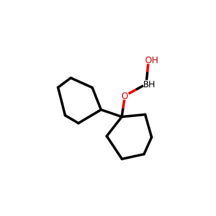 OBOC1(C2CCCCC2)CCCCC1